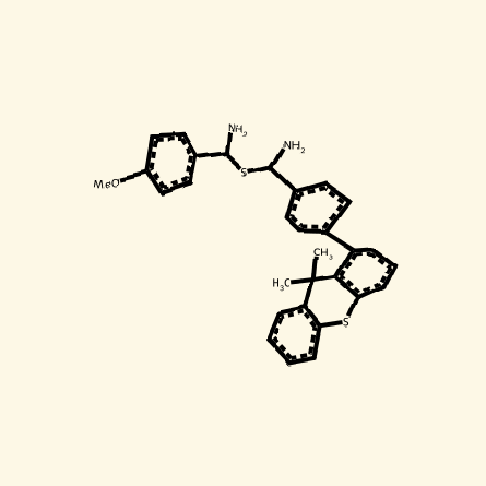 COc1ccc(C(N)SC(N)c2ccc(-c3cccc4c3C(C)(C)c3ccccc3S4)cc2)cc1